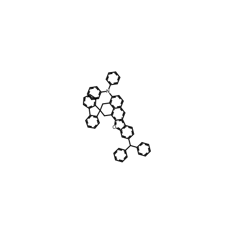 c1ccc(C(c2ccccc2)c2ccc3c(c2)oc2c4c5c(c(N(c6ccccc6)c6ccccc6)ccc5cc23)CC2(C4)c3ccccc3-c3ccccc32)cc1